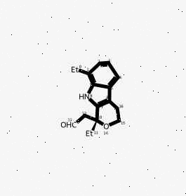 CCc1cccc2c3c([nH]c12)[C@@](CC)(CC=O)OCC3